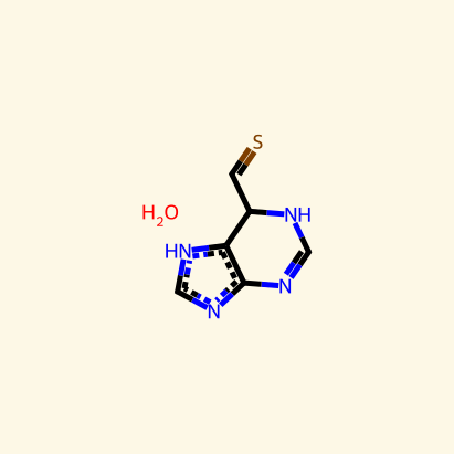 O.S=CC1NC=Nc2nc[nH]c21